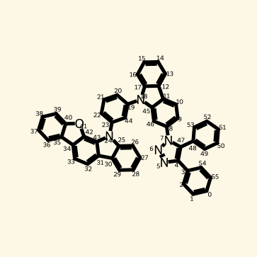 c1ccc(-c2nnn(-c3ccc4c5ccccc5n(-c5cccc(-n6c7ccccc7c7ccc8c9ccccc9oc8c76)c5)c4c3)c2-c2ccccc2)cc1